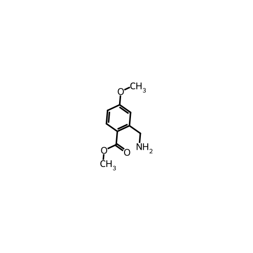 COC(=O)c1ccc(OC)cc1CN